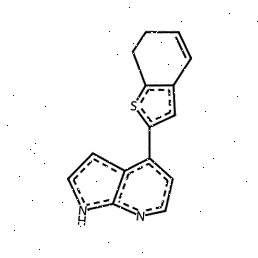 C1=Cc2cc(-c3ccnc4[nH]ccc34)sc2CC1